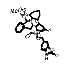 COSN[C@H]1CCCCC1N1C(=O)c2ccccc2[C@@H](C(=O)NOCc2ccc3[nH]c(=O)oc3c2)[C@@H]1c1ccc(Cl)cc1Cl